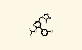 FC(F)Oc1ncc(CN2C=NNN2)cc1-c1cccc(Cl)c1